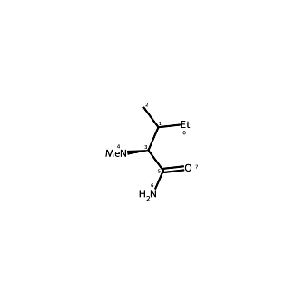 CCC(C)[C@H](NC)C(N)=O